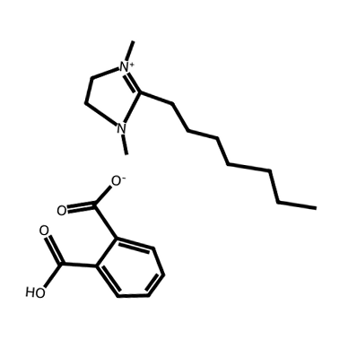 CCCCCCCC1=[N+](C)CCN1C.O=C([O-])c1ccccc1C(=O)O